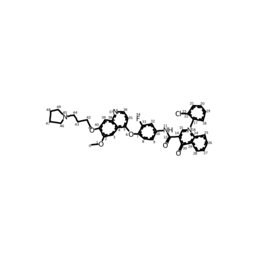 COc1cc2c(Oc3ccc(NC(=O)c4cn(-c5ccccc5Cl)c5ccccc5c4=O)cc3F)ccnc2cc1OCCCN1CCCC1